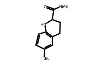 CNC(=O)C1CCc2cc(C(C)(C)C)ccc2N1